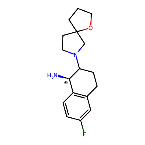 N[C@@H]1c2ccc(F)cc2CCC1N1CCC2(CCCO2)C1